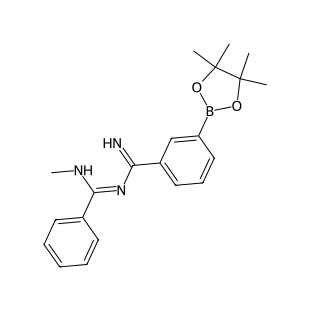 CN/C(=N\C(=N)c1cccc(B2OC(C)(C)C(C)(C)O2)c1)c1ccccc1